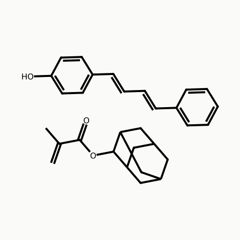 C=C(C)C(=O)OC1C2CC3CC(C2)CC1C3.Oc1ccc(C=CC=Cc2ccccc2)cc1